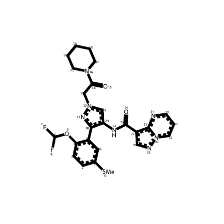 CSc1ccc(OC(F)F)c(-c2nn(CC(=O)N3CCCCC3)cc2NC(=O)c2cnn3cccnc23)c1